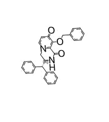 O=C1N[C@H](C(c2ccccc2)c2ccccc2)Cn2ccc(=O)c(OCc3ccccc3)c21